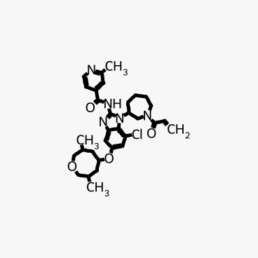 C=CC(=O)N1CCCCC(n2c(NC(=O)c3ccnc(C)c3)nc3cc(OC4CC(C)COCC(C)C4)cc(Cl)c32)C1